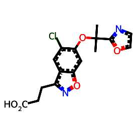 CC(C)(Oc1cc2onc(CCC(=O)O)c2cc1Cl)c1ncco1